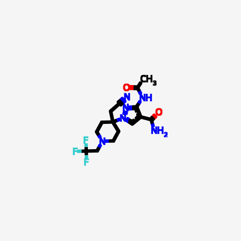 CC(=O)Nc1nn(C2(CC#N)CCN(CC(F)(F)F)CC2)cc1C(N)=O